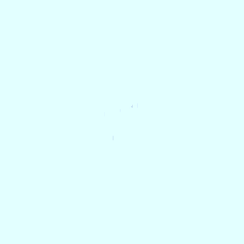 [Li+].[Li+].[Li+].[Li+].[SiH]